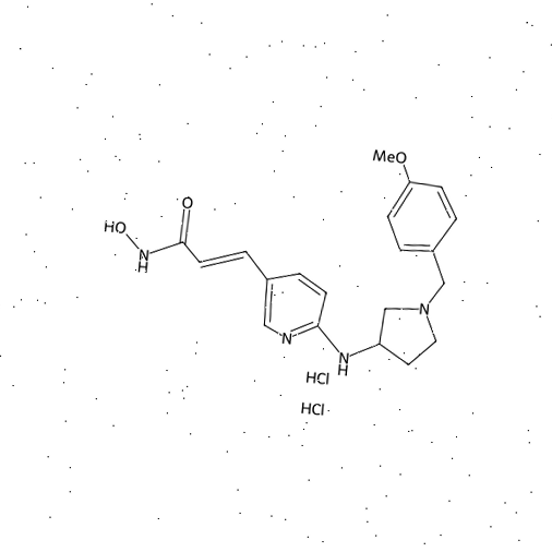 COc1ccc(CN2CCC(Nc3ccc(/C=C/C(=O)NO)cn3)C2)cc1.Cl.Cl